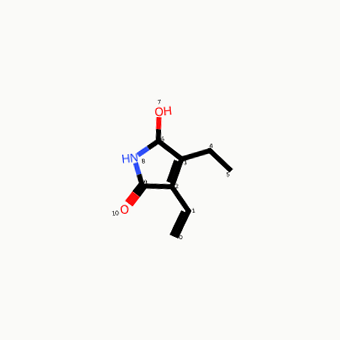 C=CC1=C(CC)C(O)NC1=O